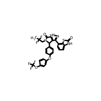 CC(F)(F)CN1C(=O)c2[nH]nc(-c3cccc4[nH]c(=O)sc34)c2C1c1ccc(Oc2ccc(OC(F)(F)F)cc2)cc1